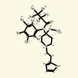 [2H]c1c([2H])c([2H])c(N(C(=O)C([2H])([2H])C([2H])([2H])[2H])C2(OC)CCN(CCc3cccs3)CC2)c([2H])c1[2H]